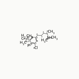 C[C@@H](CCCc1cc(Cl)c(F)c(C(C)(C)C)c1)N(C)C